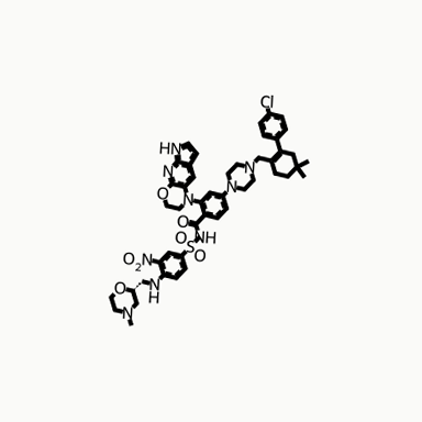 CN1CCO[C@H](CNc2ccc(S(=O)(=O)NC(=O)c3ccc(N4CCN(CC5=C(c6ccc(Cl)cc6)CC(C)(C)CC5)CC4)cc3N3CCOc4nc5[nH]ccc5cc43)cc2[N+](=O)[O-])C1